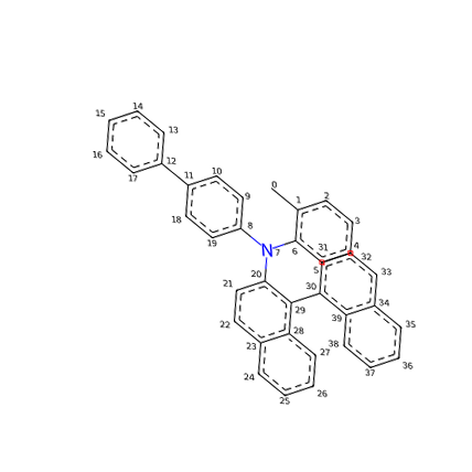 Cc1ccccc1N(c1ccc(-c2ccccc2)cc1)c1ccc2ccccc2c1-c1cccc2ccccc12